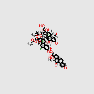 CC(=O)OCC(=O)[C@@]12OC(C)(C)O[C@@H]1C[C@H]1[C@@H]3C[C@H](F)C4=CC(=O)C=C[C@]4(C)[C@@]3(F)[C@@H](O)C[C@@]12C.C[C@@H]1C[C@H]2[C@@H]3CCC4=CC(=O)C=C[C@]4(C)[C@@]3(F)[C@@H](O)C[C@]2(C)[C@@]1(O)C(=O)CO.C[C@]12CCC(=O)C=C1CC[C@@H]1[C@@H]2C(=O)C[C@@]2(C)[C@H]1CC[C@]2(O)C(=O)CO